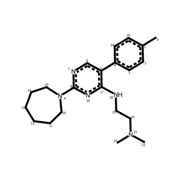 Cc1ccc(-c2cnc(N3CCCCCC3)nc2NCCN(C)C)cc1